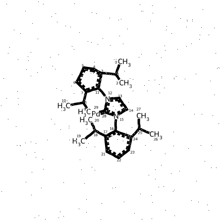 CC(C)c1cccc(C(C)C)c1-n1ccn(-c2c(C(C)C)cccc2C(C)C)[c]1=[Pd]